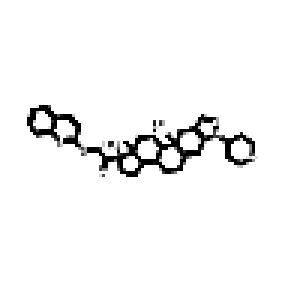 CC12Cc3cnn(C4CCOCC4)c3C=C1CCC1C2[C@@H](O)CC2(C)C1CC[C@]2(O)C(=O)CSc1ccc2ccccc2n1